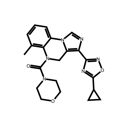 Cc1cccc2c1N(C(=O)N1CCOCC1)Cc1c(-c3noc(C4CC4)n3)ncn1-2